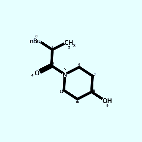 CCCCC(C)C(=O)N1CCC(O)CC1